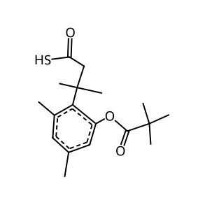 Cc1cc(C)c(C(C)(C)CC(=O)S)c(OC(=O)C(C)(C)C)c1